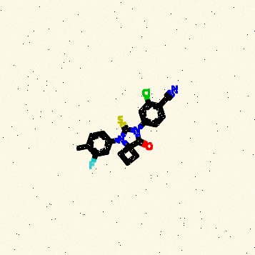 Cc1ccc(N2C(=S)N(c3ccc(C#N)c(Cl)c3)C(=O)C23CCC3)cc1F